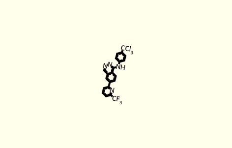 FC(F)(F)c1cccc(-c2ccc3c(Nc4ccc(C(Cl)(Cl)Cl)cc4)nncc3c2)n1